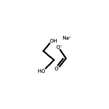 O=C[O-].OCCO.[Na+]